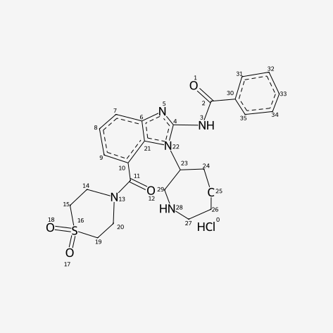 Cl.O=C(Nc1nc2cccc(C(=O)N3CCS(=O)(=O)CC3)c2n1C1CCCCNC1)c1ccccc1